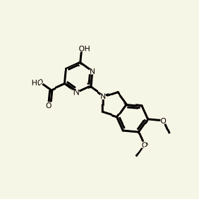 COc1cc2c(cc1OC)CN(c1nc(O)cc(C(=O)O)n1)C2